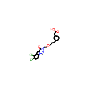 Cn1c(C(=O)NCCOCCCc2cccc(CC(=O)O)c2)cc2c(Cl)c(Cl)ccc21